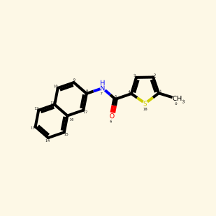 Cc1[c]cc(C(=O)Nc2ccc3ccccc3c2)s1